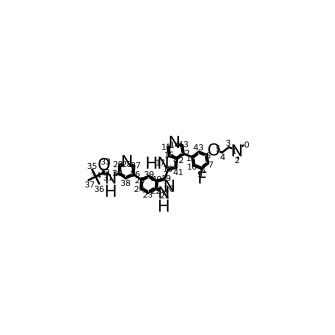 CN(C)CCOc1cc(F)cc(-c2cncc3[nH]c(-c4n[nH]c5ccc(-c6cncc(NC(=O)C(C)(C)C)c6)cc45)cc23)c1